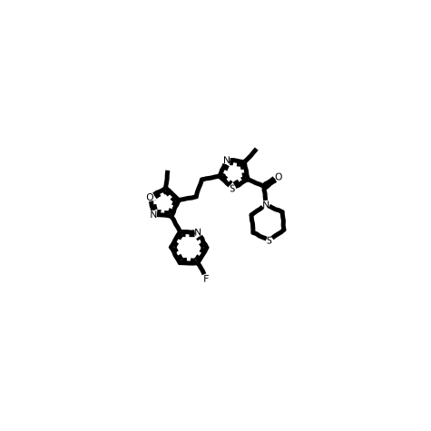 Cc1nc(CCc2c(-c3ccc(F)cn3)noc2C)sc1C(=O)N1CCSCC1